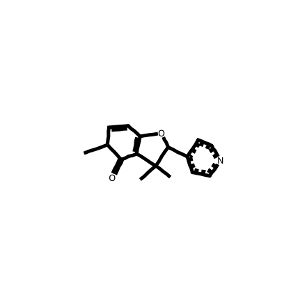 CC1C=CC2=C(C1=O)C(C)(C)C(c1ccncc1)O2